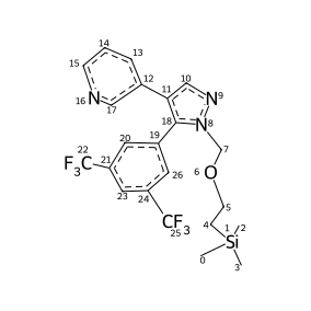 C[Si](C)(C)CCOCn1ncc(-c2cccnc2)c1-c1cc(C(F)(F)F)cc(C(F)(F)F)c1